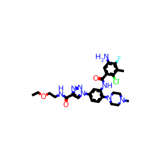 CCOCCNC(=O)c1cn(-c2ccc(N3CCN(C)CC3)c(NC(=O)c3cc(N)c(F)c(C)c3Cl)c2)nn1